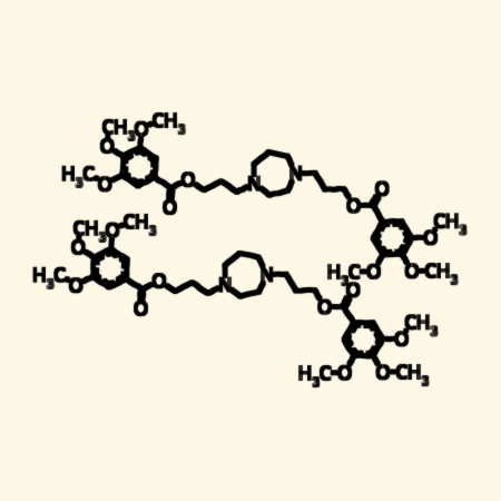 COc1cc(C(=O)OCCCN2CCCN(CCCOC(=O)c3cc(OC)c(OC)c(OC)c3)CC2)cc(OC)c1OC.COc1cc(C(=O)OCCCN2CCCN(CCCOC(=O)c3cc(OC)c(OC)c(OC)c3)CC2)cc(OC)c1OC